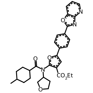 CCOC(=O)c1cc(-c2ccc(-c3nc4ncccc4o3)cc2)oc1N(C(=O)C1CCC(C)CC1)C1CCOC1